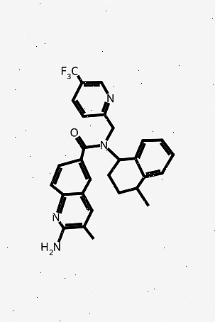 Cc1cc2cc(C(=O)N(Cc3ccc(C(F)(F)F)cn3)C3CCC(C)c4ccccc43)ccc2nc1N